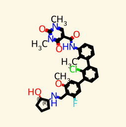 COc1cc(-c2cccc(-c3cccc(NC(=O)c4cn(C)c(=O)n(C)c4=O)c3C)c2Cl)cc(F)c1CN[C@@H]1CCC[C@H]1O